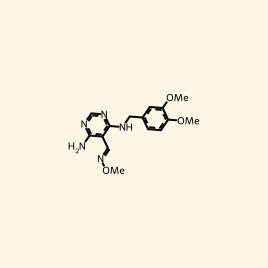 CON=Cc1c(N)ncnc1NCc1ccc(OC)c(OC)c1